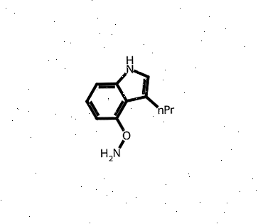 CCCc1c[nH]c2cccc(ON)c12